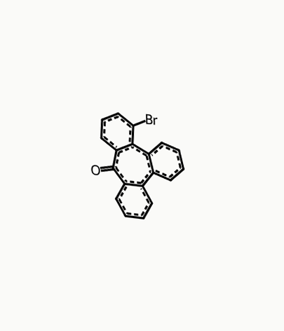 O=c1c2ccccc2c2ccccc2c2c(Br)cccc12